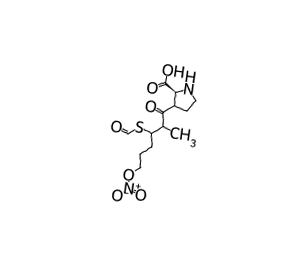 CC(C(=O)C1CCN[C@@H]1C(=O)O)C(CCCO[N+](=O)[O-])SC=O